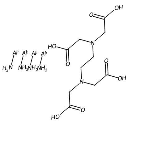 O=C(O)CN(CCN(CC(=O)O)CC(=O)O)CC(=O)O.[NH2][Al].[NH2][Al].[NH2][Al].[NH2][Al]